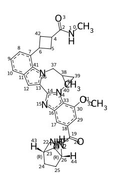 CNC(=O)C1CC(c2cccc3cc(-c4nc5cc(C(=O)N6C[C@H]7CC[C@@H]6[C@@H]7N)cc(OC)c5n4C)n(CC4CC4)c23)C1